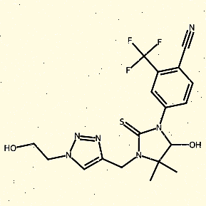 CC1(C)C(O)N(c2ccc(C#N)c(C(F)(F)F)c2)C(=S)N1Cc1cn(CCO)nn1